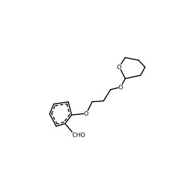 O=Cc1ccccc1OCCCOC1CCCCO1